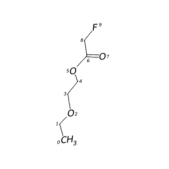 CCOCCOC(=O)CF